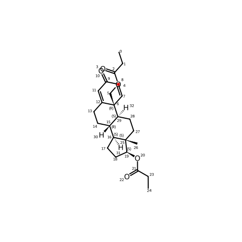 CCC(=O)OC[C@]12C=CC(=O)C=C1CC[C@H]1[C@@H]3CC[C@H](OC(=O)CC)[C@@]3(C)CC[C@@H]12